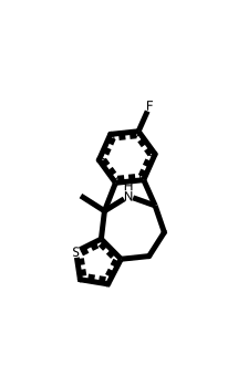 CC12NC(CCc3ccsc31)c1cc(F)ccc12